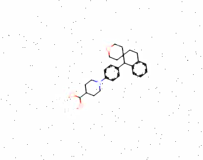 COC(OC)C1CCN(c2ccc(C3c4ccccc4CCC34CCOCC4)cc2)CC1